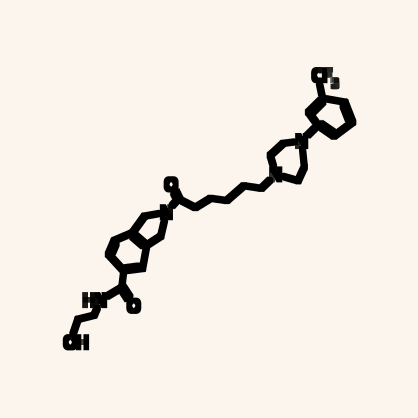 O=C(NCCO)c1ccc2c(c1)CN(C(=O)CCCCCN1CCN(c3cccc(C(F)(F)F)c3)CC1)C2